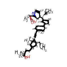 C=C[C@@]12CC(CC[C@@H](C)O)C[C@]1(C)[C@H]2C#Cc1ccc(C2=CC([C@@H](CC)C3C=CN=C([C@H](C)O)C3)=CC2)cc1